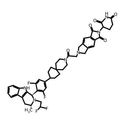 C[C@@H]1Cc2c([nH]c3ccccc23)[C@@H](c2c(F)cc(C3CCC4(CC3)CCN(C(=O)CN3Cc5cc6c(cc5C3)C(=O)N(C3CCC(=O)NC3=O)C6=O)CC4)cc2F)N1CC(F)F